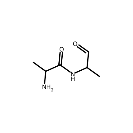 CC(C=O)NC(=O)C(C)N